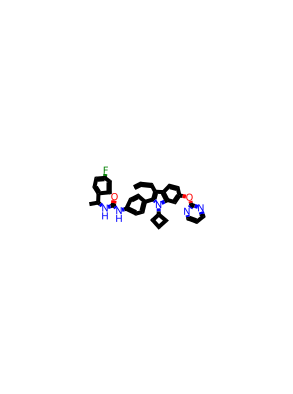 C=C=Cc1c(-c2ccc(NC(=O)NC(C)c3ccc(F)cc3)cc2)n(C2CCC2)c2cc(Oc3ncccn3)ccc12